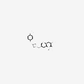 CCc1cc2ncc(CN3CC(Oc4ccc(C#N)cc4)C3)cc2n(C)c1=O